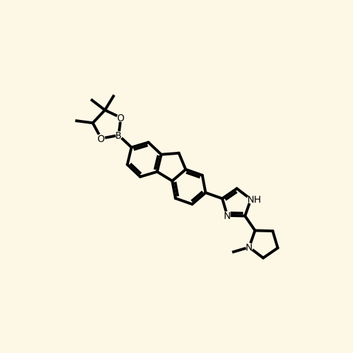 CC1OB(c2ccc3c(c2)Cc2cc(-c4c[nH]c(C5CCCN5C)n4)ccc2-3)OC1(C)C